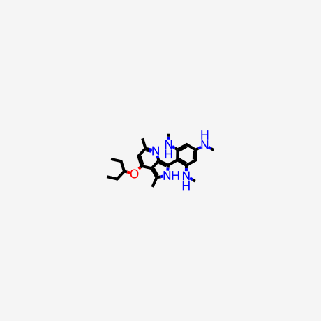 CCC(CC)Oc1cc(C)nc2c(-c3c(NC)cc(NC)cc3NC)[nH]c(C)c12